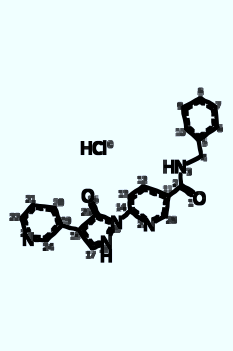 Cl.O=C(NCc1ccccc1)c1ccc(-n2[nH]cc(-c3cccnc3)c2=O)nc1